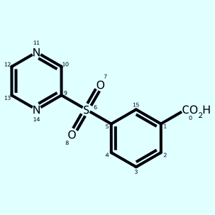 O=C(O)c1cccc(S(=O)(=O)c2cnccn2)c1